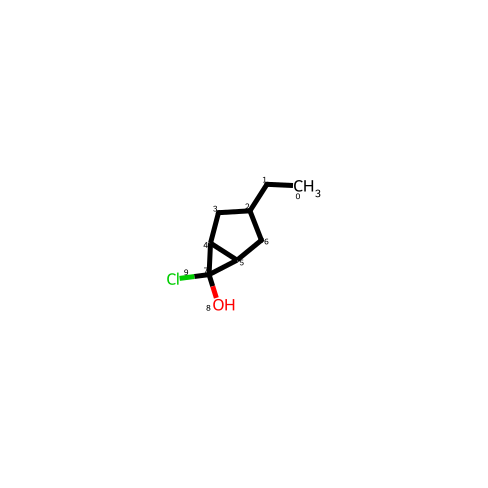 CCC1CC2C(C1)C2(O)Cl